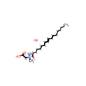 CCCCCCCCC=CCCCCCCCC(=O)[N+](C)(C)CC(=O)O.[OH-]